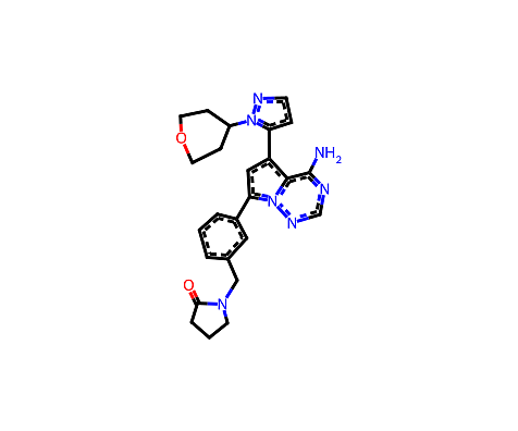 Nc1ncnn2c(-c3cccc(CN4CCCC4=O)c3)cc(-c3ccnn3C3CCOCC3)c12